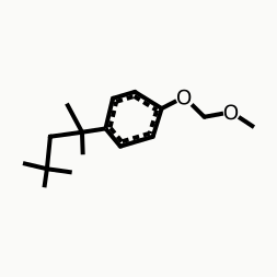 COCOc1ccc(C(C)(C)CC(C)(C)C)cc1